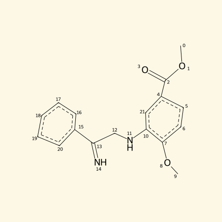 COC(=O)c1ccc(OC)c(NCC(=N)c2ccccc2)c1